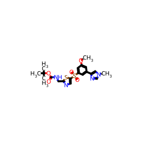 COc1cc(-c2cn(C)cn2)cc(S(=O)(=O)c2cnc(CNC(=O)OC(C)(C)C)s2)c1